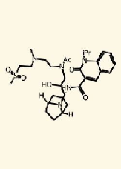 CC(=O)N(CCN(C)CCS(C)(=O)=O)CC(O)CN1[C@@H]2CC[C@H]1C[C@@H](NC(=O)c1cc3ccccc3n(C(C)C)c1=O)C2